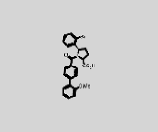 COc1ccccc1-c1ccc(C(=O)N2[C@@H](c3ccccc3Br)CC[C@H]2C(=O)O)cc1